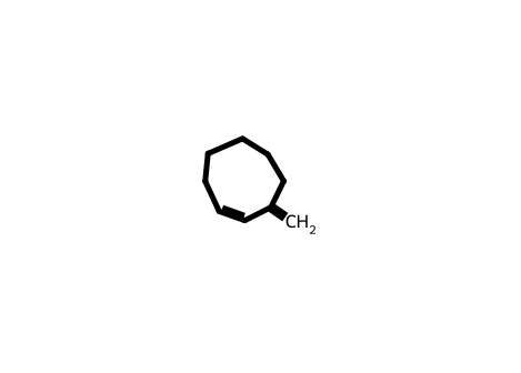 C=C1C=CCCCCC1